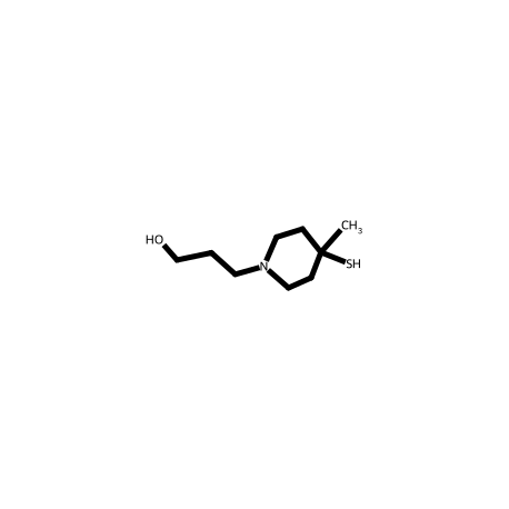 CC1(S)CCN(CCCO)CC1